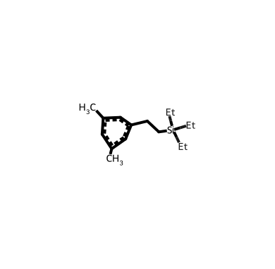 CC[Si](CC)(CC)CCc1cc(C)cc(C)c1